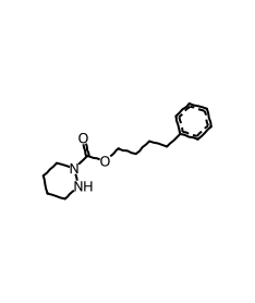 O=C(OCCCCc1ccccc1)N1CCCCN1